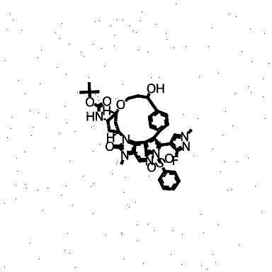 Cn1cc(-c2c3c4c(ncc5c4n(c(=O)n5C)[C@H]4C[C@H](NC(=O)OC(C)(C)C)[C@@H](C4)OCCC(O)c4ccc-3cc4)n2S(=O)(=O)c2ccccc2)c(F)n1